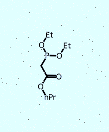 CCCOC(=O)CP(OCC)OCC